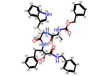 C[C@H](NC(=O)OCc1ccccc1)C(=O)N[C@@H](Cc1c[nH]c2ccccc12)C(=O)NC(Cc1ccccc1)[C@H](O)C(=O)NCc1ccccc1